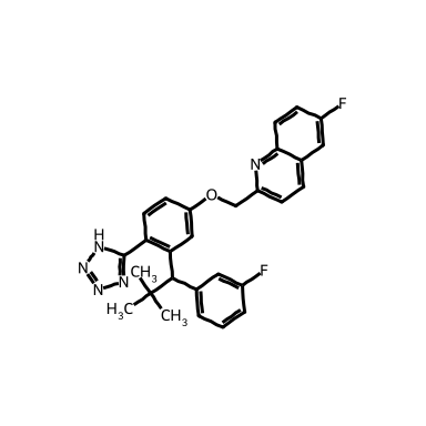 CC(C)(C)C(c1cccc(F)c1)c1cc(OCc2ccc3cc(F)ccc3n2)ccc1-c1nnn[nH]1